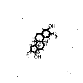 COc1cc2c(cc1O)CC[C@@H]1[C@@H]2CC[C@]2(C)[C@@H](O)[C@@H](C)C[C@@H]12